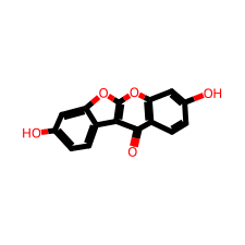 O=c1c2ccc(O)cc2oc2oc3cc(O)ccc3c12